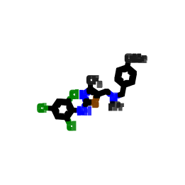 CCCN(Cc1ccc(OC)cc1)Cc1sc(Nc2c(Cl)cc(Cl)cc2Cl)nc1C(F)(F)F